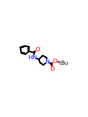 CC(C)(C)OC(=O)N1CCC(NC(=O)c2ccccc2)CC1